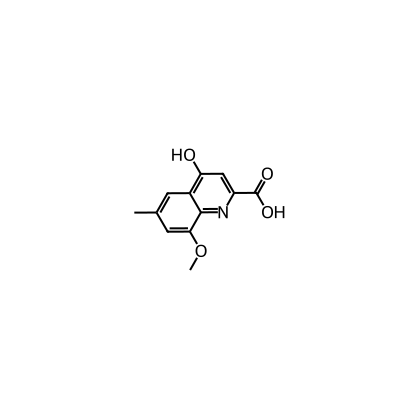 COc1cc(C)cc2c(O)cc(C(=O)O)nc12